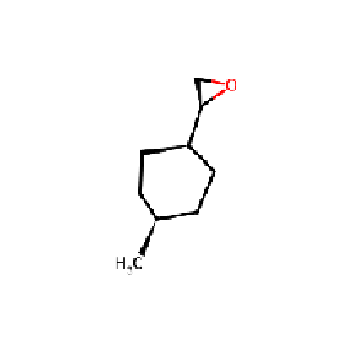 C[C@H]1CC[C@@H]([C@H]2CO2)CC1